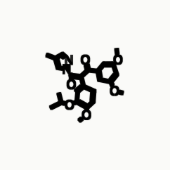 COc1cc(OC)cc(C(=O)c2c(-n3cc(C)cn3)oc3c(OC(C)C)c(OC)ccc23)c1